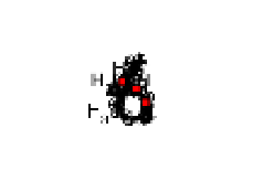 C=C[C@@H]1C[C@]1(NC(=O)[C@@H]1C[C@@H]2CN1C(=O)[C@H](C1CCCCC1)NC(=O)N(C)CCCCCc1cccc3c1CN(C3)C(=O)O2)C(=O)NS(=O)(=O)C1CC1